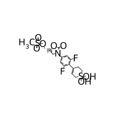 CS(=O)(=O)OC[C@H]1CN(c2cc(F)c(C3=CCS(O)(O)CC3)c(F)c2)C(=O)O1